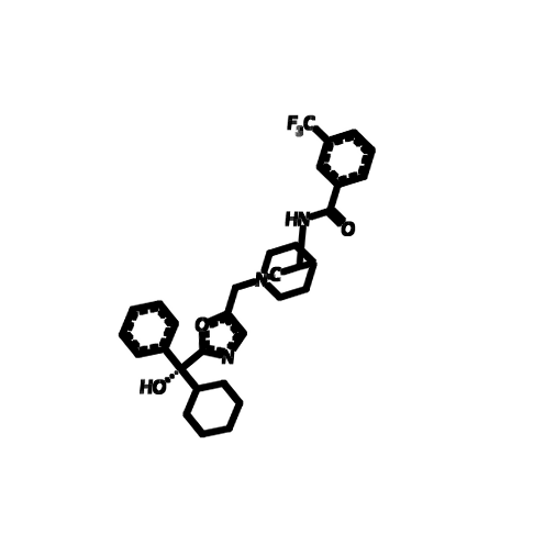 O=C(NC1C[N+]2(Cc3cnc([C@](O)(c4ccccc4)C4CCCCC4)o3)CCC1CC2)c1cccc(C(F)(F)F)c1